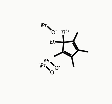 CC(C)[O-].CC(C)[O-].CC(C)[O-].CC[C]1([Ti+3])C(C)=C(C)C(C)=C1C